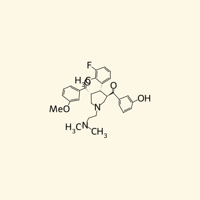 COc1cccc(C(=O)[C@H]2CN(CCN(C)C)C[C@H](C(=O)c3cccc(O)c3)[C@H]2c2cccc(F)c2C)c1